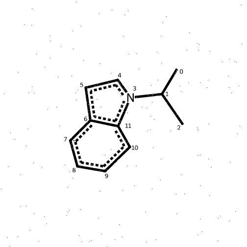 CC(C)n1ccc2[c]cccc21